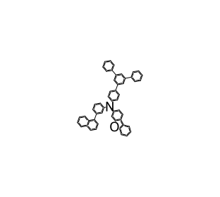 c1ccc(-c2cc(-c3ccccc3)cc(-c3ccc(N(c4cccc(-c5cccc6ccccc56)c4)c4ccc5c(c4)oc4ccccc45)cc3)c2)cc1